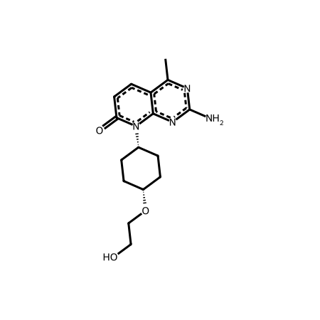 Cc1nc(N)nc2c1ccc(=O)n2[C@H]1CC[C@@H](OCCO)CC1